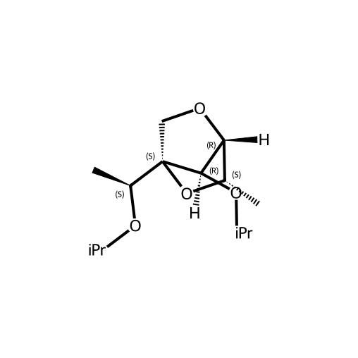 CC(C)O[C@@H](C)[C@]12CO[C@H]([C@H](C)O1)[C@H]2OC(C)C